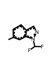 Cc1ccc2cnn(C(F)F)c2c1